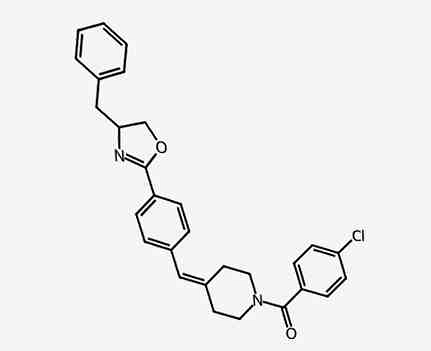 O=C(c1ccc(Cl)cc1)N1CCC(=Cc2ccc(C3=NC(Cc4ccccc4)CO3)cc2)CC1